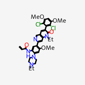 C=CC(=O)Nc1cc(-c2cc3c(cn2)cc(-c2c(Cl)c(OC)cc(OC)c2Cl)c(=O)n3CC)c(OC)cc1N1CCN(CC)CC1